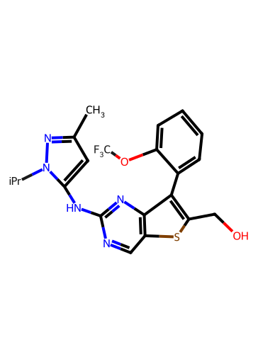 Cc1cc(Nc2ncc3sc(CO)c(-c4ccccc4OC(F)(F)F)c3n2)n(C(C)C)n1